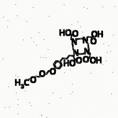 CCOCCOCCOc1ccc(CCCC(C(=O)O)N2CCN(CC(=O)O)CCN(CC(=O)O)CCN(CC(=O)O)CC2)cc1